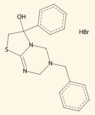 Br.OC1(c2ccccc2)CSC2=NCN(Cc3ccccc3)CN21